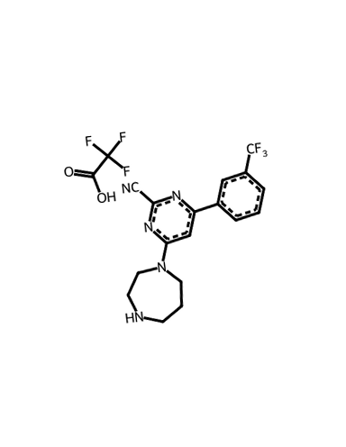 N#Cc1nc(-c2cccc(C(F)(F)F)c2)cc(N2CCCNCC2)n1.O=C(O)C(F)(F)F